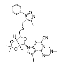 Cc1noc(-c2ccccc2)c1CSC[C@H]1O[C@@H](n2cc(I)c3c(/N=C\N(C)C)nc(C#N)nc32)[C@@H]2OC(C)(C)O[C@@H]21